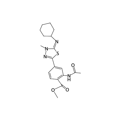 COC(=O)c1ccc(-c2nn(C)/c(=N\C3CCCCC3)s2)cc1NC(C)=O